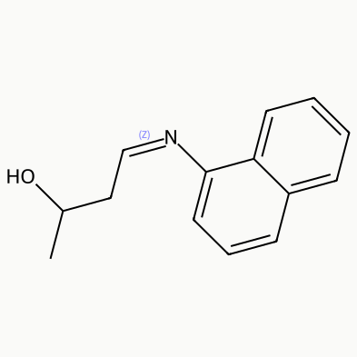 CC(O)C/C=N\c1cccc2ccccc12